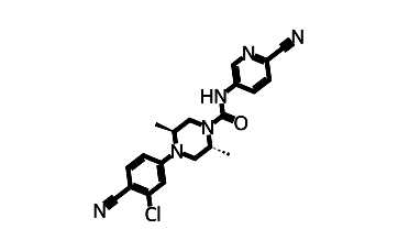 C[C@@H]1CN(c2ccc(C#N)c(Cl)c2)[C@@H](C)CN1C(=O)Nc1ccc(C#N)nc1